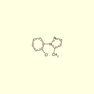 Cc1ccnn1-c1ccccc1Cl